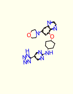 c1cnc2c(O[C@H]3CC[C@@H](Nc4ncc(-c5nnn[nH]5)cn4)CC3)cc(N3CCOCC3)cc2n1